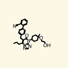 CCCc1c(Cc2ccc(-c3ccccc3C#N)cc2)c(=O)n(C2CCC(C)(OCCO)CC2)c2ncnn12